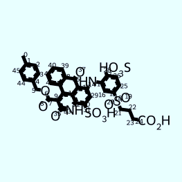 Cc1ccc(COC(=O)c2c3c4c(c(Nc5cc(S(=O)(=O)CCCC(=O)O)ccc5S(=O)(=O)O)cc(S(=O)(=O)O)c4[nH]c2=O)C(=O)c2ccccc2-3)cc1